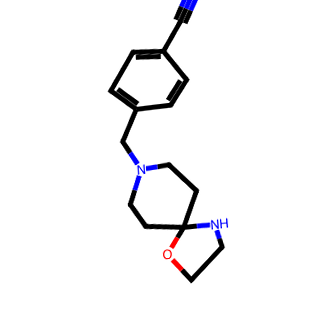 N#Cc1ccc(CN2CCC3(CC2)NCCO3)cc1